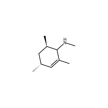 CNC1C(C)=C[C@H](C)C[C@H]1C